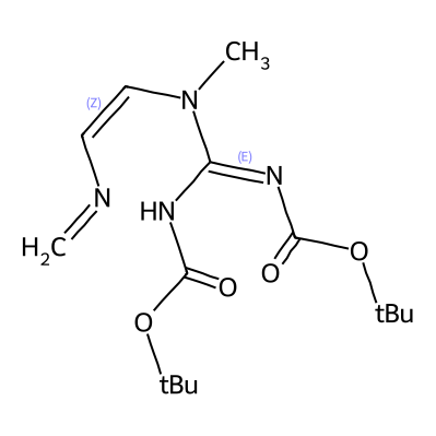 C=N/C=C\N(C)/C(=N/C(=O)OC(C)(C)C)NC(=O)OC(C)(C)C